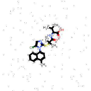 Cc1ccc(-n2c(Cl)cnc2SC(C)(C)C(=O)NC(C(=O)O)C(C)C)c2ccccc12